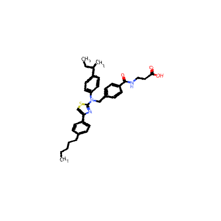 CCCCCc1ccc(-c2csc(N(Cc3ccc(C(=O)NCCC(=O)O)cc3)c3ccc(C(C)CC)cc3)n2)cc1